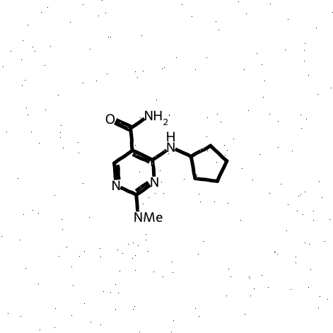 CNc1ncc(C(N)=O)c(NC2CCCC2)n1